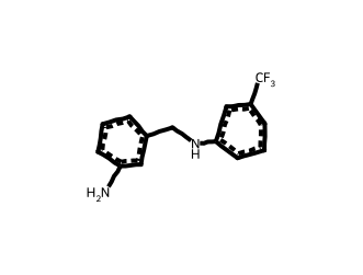 Nc1cccc(CNc2cccc(C(F)(F)F)c2)c1